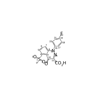 CS(=O)(=O)c1cccc2c1c(=O)c(C(=O)O)nn2-c1ccc(F)cc1